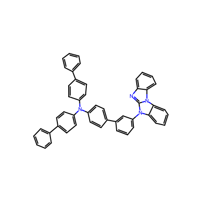 c1ccc(-c2ccc(N(c3ccc(-c4ccccc4)cc3)c3ccc(-c4cccc(-n5c6ccccc6n6c7ccccc7nc56)c4)cc3)cc2)cc1